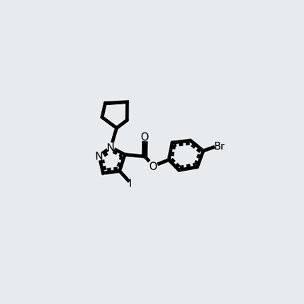 O=C(Oc1ccc(Br)cc1)c1c(I)cnn1C1CCCC1